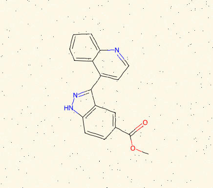 COC(=O)c1ccc2[nH]nc(-c3ccnc4ccccc34)c2c1